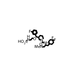 CNCC(CC1CCC(F)(F)CC1)NC(=O)N1CCCC(C(OCCNC(=O)O)c2cccc(F)c2)C1